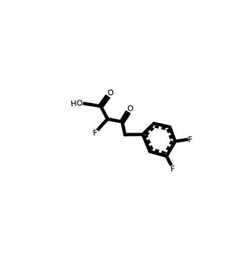 O=C(O)C(F)C(=O)Cc1ccc(F)c(F)c1